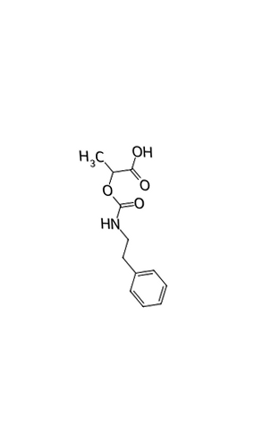 CC(OC(=O)NCCc1ccccc1)C(=O)O